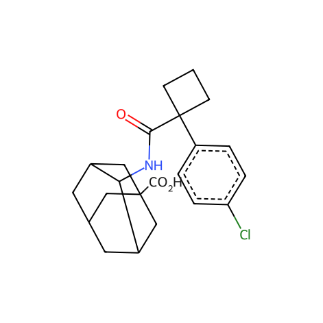 O=C(O)C12CC3CC(C1)C(NC(=O)C1(c4ccc(Cl)cc4)CCC1)C(C3)C2